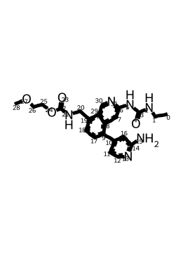 CCNC(=O)Nc1cc2c(-c3ccnc(N)c3)ccc(CNC(=O)OCCOC)c2cn1